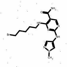 Cn1cc(Nc2ncc(C(N)=O)c(NCCCCCBr)n2)cn1